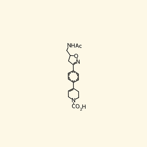 CC(=O)NCC1CC(c2ccc(C3=CCN(C(=O)O)CC3)cc2)=NO1